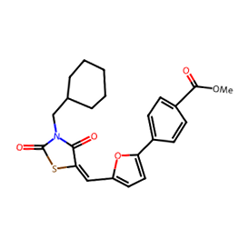 COC(=O)c1ccc(-c2ccc(C=C3SC(=O)N(CC4CCCCC4)C3=O)o2)cc1